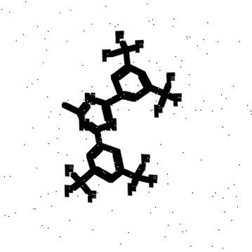 Cc1nc(-c2cc(C(F)(F)F)cc(C(F)(F)F)c2)nc(-c2cc(C(F)(F)F)cc(C(F)(F)F)c2)n1